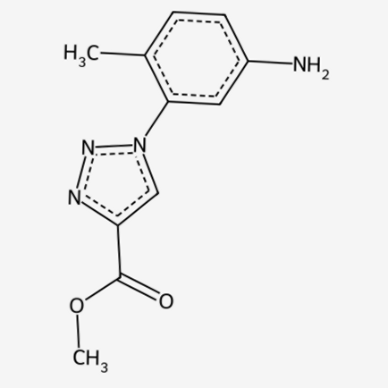 COC(=O)c1cn(-c2cc(N)ccc2C)nn1